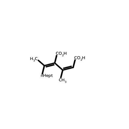 CCCCCCC/C(C)=C(C(=O)O)\C(C)=C/C(=O)O